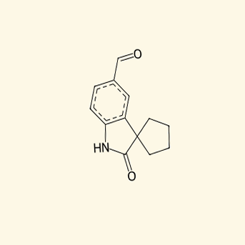 O=Cc1ccc2c(c1)C1(CCCC1)C(=O)N2